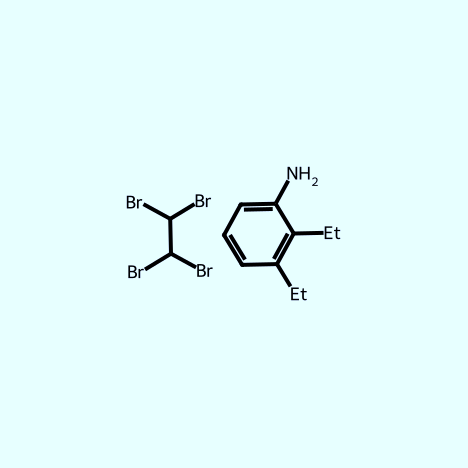 BrC(Br)C(Br)Br.CCc1cccc(N)c1CC